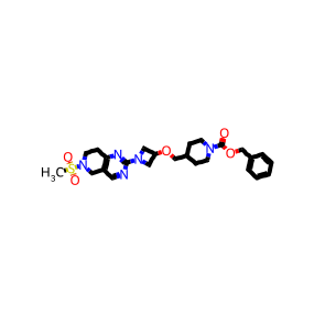 CS(=O)(=O)N1CCc2nc(N3CC(OCC4CCN(C(=O)OCc5ccccc5)CC4)C3)ncc2C1